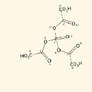 O=C(O)C(=O)OP(=O)(OC(=O)C(=O)O)OC(=O)C(=O)O